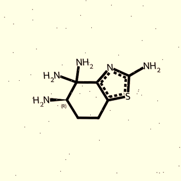 Nc1nc2c(s1)CC[C@@H](N)C2(N)N